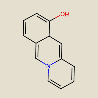 OC1=CC=CC2=CN3C=CC=CC3=CC12